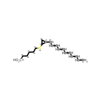 BBBBBBBBBBBB1CC1SCCCCCC(=O)O